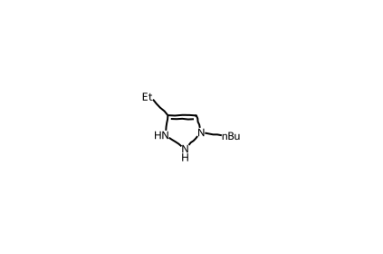 CCCCN1C=C(CC)NN1